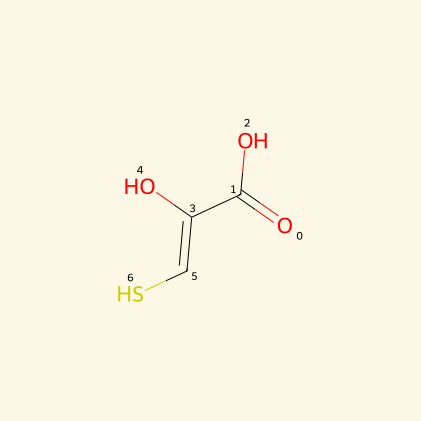 O=C(O)/C(O)=C/S